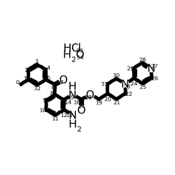 Cc1cccc(C(=O)c2cccc(N)c2NC(=O)OCC2CCN(c3ccncc3)CC2)c1.Cl.O